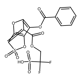 O=C(Oc1c2c3oc1c(C(=O)OCC(F)(F)S(=O)(=O)O)c3S(=O)(=O)O2)c1ccccc1